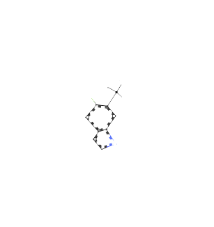 [2H]C([2H])([2H])c1cc2[nH]ccc2cc1F